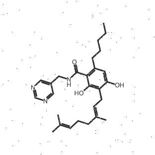 CCCCCc1cc(O)c(C/C=C(\C)CCC=C(C)C)c(O)c1C(=O)NCc1cncnc1